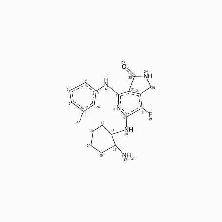 Cc1cccc(Nc2nc(NC3CCCCC3N)c(F)c3c2C(=O)NC3)c1